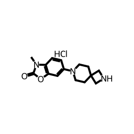 Cl.Cn1c(=O)oc2cc(N3CCC4(CC3)CNC4)ccc21